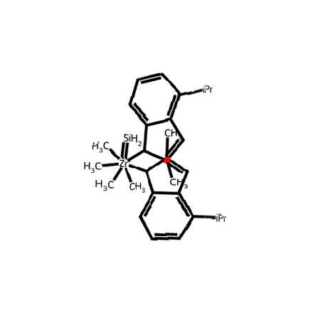 CC1=Cc2c(C(C)C)cccc2[CH]1[Zr]([CH3])([CH3])([CH3])([CH3])(=[SiH2])[CH]1C(C)=Cc2c(C(C)C)cccc21